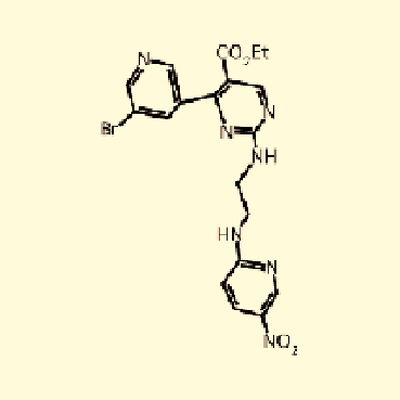 CCOC(=O)c1cnc(NCCNc2ccc([N+](=O)[O-])cn2)nc1-c1cncc(Br)c1